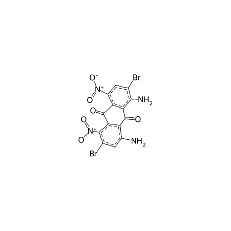 Nc1cc(Br)c([N+](=O)[O-])c2c1C(=O)c1c(N)c(Br)cc([N+](=O)[O-])c1C2=O